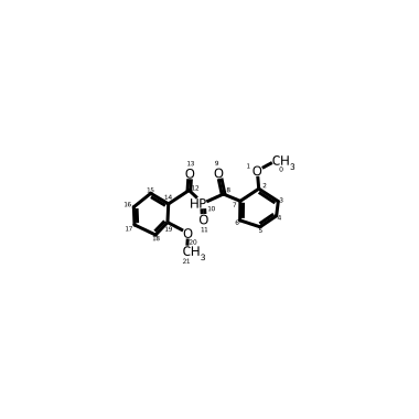 COc1ccccc1C(=O)[PH](=O)C(=O)c1ccccc1OC